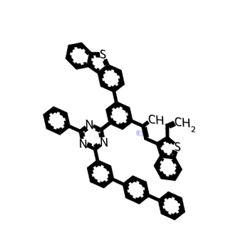 C=Cc1sc2ccccc2c1/C=C(\C)c1cc(-c2ccc3sc4ccccc4c3c2)cc(-c2nc(-c3ccccc3)nc(-c3cccc(-c4ccc(-c5ccccc5)cc4)c3)n2)c1